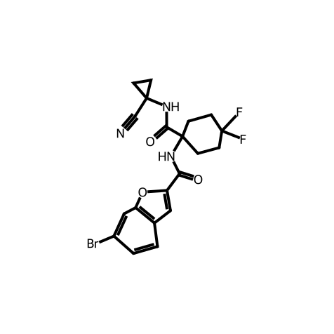 N#CC1(NC(=O)C2(NC(=O)c3cc4ccc(Br)cc4o3)CCC(F)(F)CC2)CC1